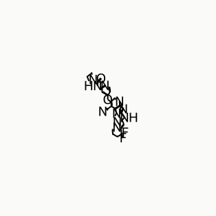 Cn1c(Nc2cc3n(n2)CCCC3(F)F)nc2ncc(Oc3ccnc(NC(=O)N4CCC4)c3)c(C#N)c21